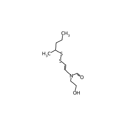 CCCC(C)SSC=CN(C=O)CCO